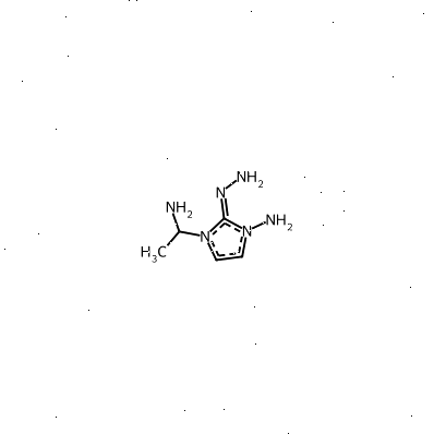 CC(N)n1ccn(N)c1=NN